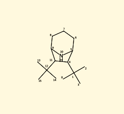 CC(C)(C)C1C2CCCC(N2)C1C(C)(C)C